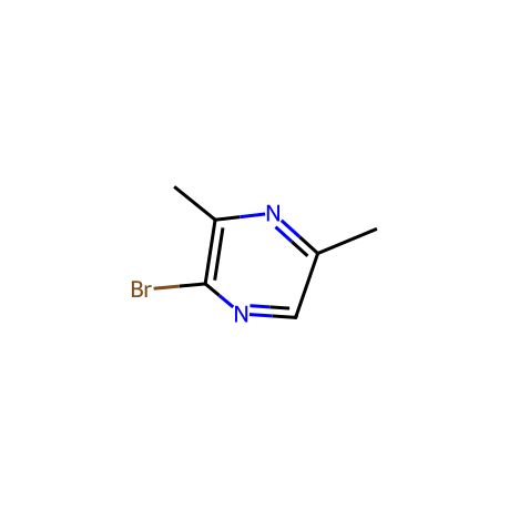 Cc1cnc(Br)c(C)n1